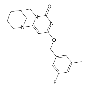 Cc1cc(F)cc(COc2cc3n(c(=O)n2)CC2CCCN3C2)c1